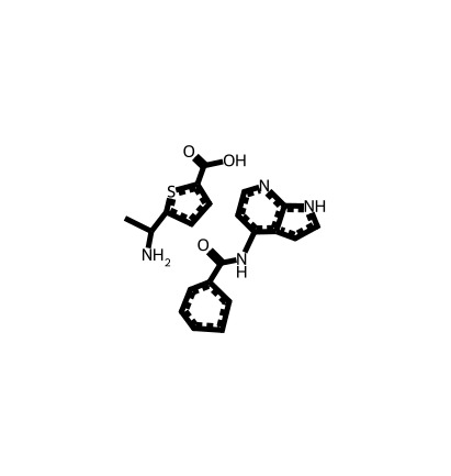 CC(N)c1ccc(C(=O)O)s1.O=C(Nc1ccnc2[nH]ccc12)c1ccccc1